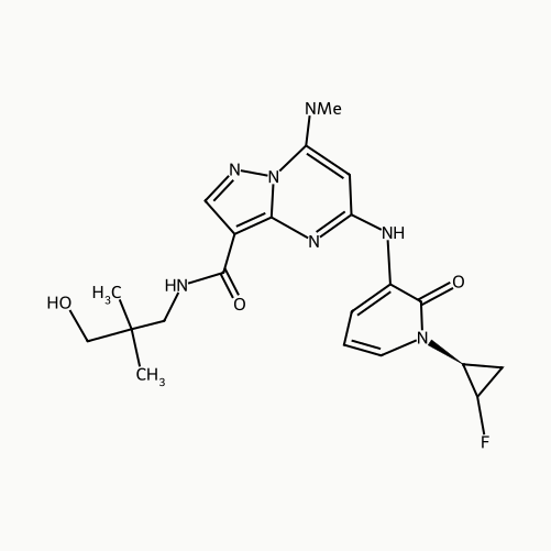 CNc1cc(Nc2cccn([C@H]3CC3F)c2=O)nc2c(C(=O)NCC(C)(C)CO)cnn12